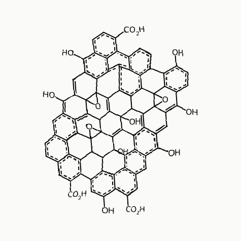 O=C(O)c1cc2ccc3cc4c5c6c3c2c2c1-c1cc(O)c3c(C(=O)O)cc7cc8c(O)c9c%10c%11c8c8c7c3c1C1C2C62OC23C(=C%11C2(O)C6=C7c%11c%12c%13c%14c(ccc%15c%16c(C(=O)O)ccc%17c(O)c%18c(c(c%11c%14%15)c%17%16)C7%11OC%11(C(=C%18)C=4O)C=5C63)-c3c(O)ccc4c3C%133OC3(C(=C4O)C=9)C=%10C%122)C81O